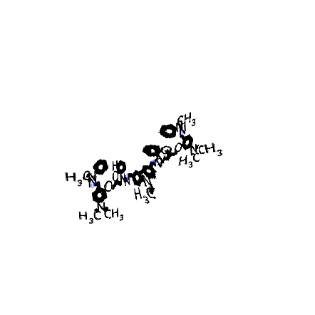 CCN(CC)c1ccc(/C=N/N(C)c2ccccc2)c(OCC(O)CN(/N=C/c2ccc3c(c2)c2cc(/C=N/N(CC(O)COc4cc(N(CC)CC)ccc4/C=N/N(C)c4ccccc4)c4ccccc4)ccc2n3CC)c2ccccc2)c1